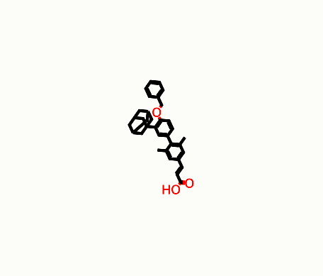 Cc1cc(C=CC(=O)O)cc(C)c1-c1ccc(OCc2ccccc2)c(C23CC4CC(CC(C4)C2)C3)c1